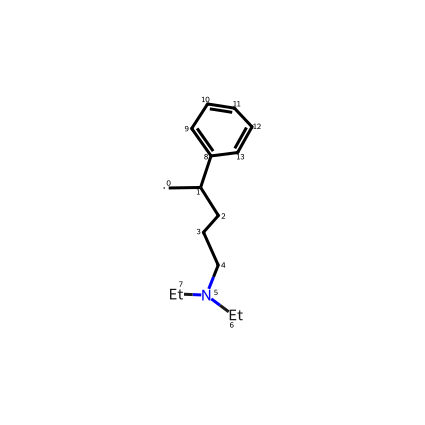 [CH2]C(CCCN(CC)CC)c1ccccc1